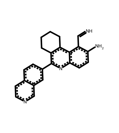 N=Cc1c(N)ccc2nc(-c3ccc4ccncc4c3)c3c(c12)CCCC3